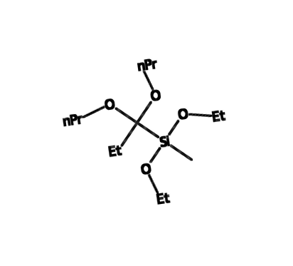 CCCOC(CC)(OCCC)[Si](C)(OCC)OCC